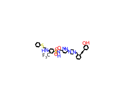 O=C(NS(=O)(=O)c1ccc(NCCSc2ccccc2)c(C(F)(F)F)c1)c1ccc(N2CCN(Cc3ccccc3C#Cc3cccc(O)c3)CC2)nn1